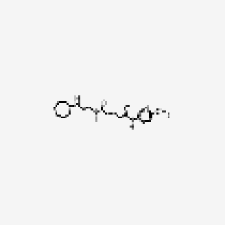 Cc1ccc(NC(=O)CCCC(=O)NCCNC2CCCCCC2)cn1